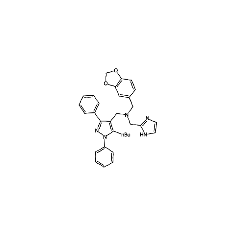 CCCCc1c(CN(Cc2ccc3c(c2)OCO3)Cc2ncc[nH]2)c(-c2ccccc2)nn1-c1ccccc1